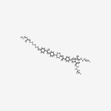 C=CC(=O)OCCCCCCOc1ccc(C(=O)Oc2ccc(C3CCC(OC(=O)c4ccc(C5O[C@@H](C(=O)OCCCC)[C@H](C(=O)OCCCC)O5)cc4)CC3)cc2)cc1